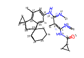 C=N/C(NC(=O)C1CC1)=C(C)\C(=N/C)Nc1cc(C)c2c(c1)C1(CCCCC1)CC21CC1